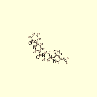 Cc1cc(C2CC2)cnc1N1CCN(C(=O)c2ccc(N3CCCCC3=O)nc2)CC1